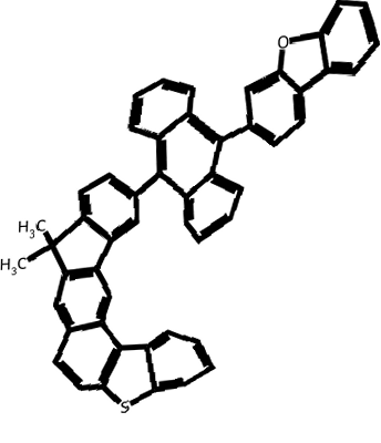 CC1(C)c2ccc(-c3c4ccccc4c(-c4ccc5c(c4)oc4ccccc45)c4ccccc34)cc2-c2cc3c(ccc4sc5ccccc5c43)cc21